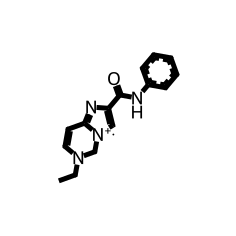 CCN1C=CC2=NC(C(=O)Nc3ccccc3)=C[N+]2C1